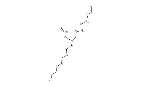 CCCCCCCCCC(CC=O)CCCCCCCC